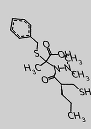 CCC[C@H](CS)C(=O)N(N(C)C)C(C)(SCc1ccccc1)C(=O)O